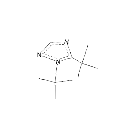 CC(C)(C)c1ncnn1C(C)(C)C